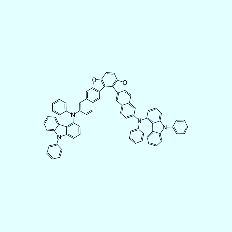 c1ccc(N(c2ccc3cc4c(cc3c2)oc2ccc3oc5cc6cc(N(c7ccccc7)c7cccc8c7c7ccccc7n8-c7ccccc7)ccc6cc5c3c24)c2cccc3c2c2ccccc2n3-c2ccccc2)cc1